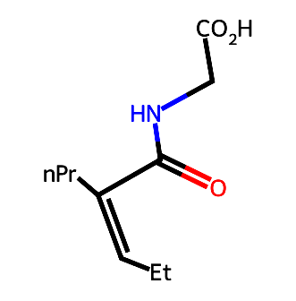 CCC=C(CCC)C(=O)NCC(=O)O